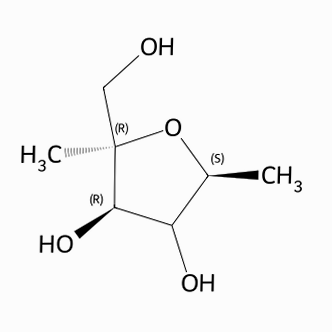 C[C@@H]1O[C@](C)(CO)[C@H](O)C1O